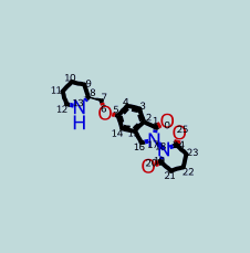 O=C1c2ccc(OC[C@@H]3CCCCN3)cc2CN1N1C(=O)CCCC1=O